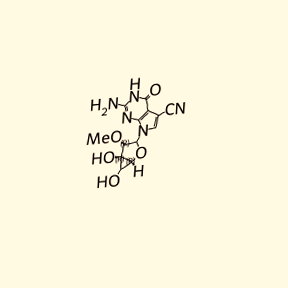 CO[C@H]1C(n2cc(C#N)c3c(=O)[nH]c(N)nc32)O[C@@H]2C(O)[C@@]21O